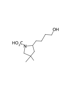 CC1(C)CC(CCCCO)N(C(=O)O)C1